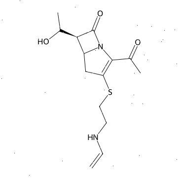 C=CNCCSC1=C(C(C)=O)N2C(=O)[C@H](C(C)O)C2C1